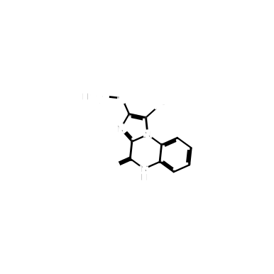 CCc1c(OC(=O)O)nc2c(=O)[nH]c3ccccc3n12